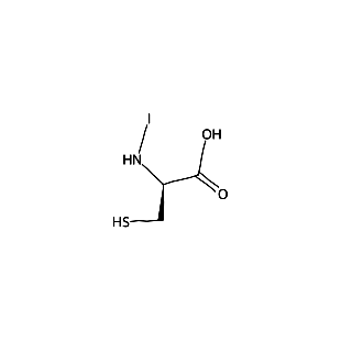 O=C(O)[C@@H](CS)NI